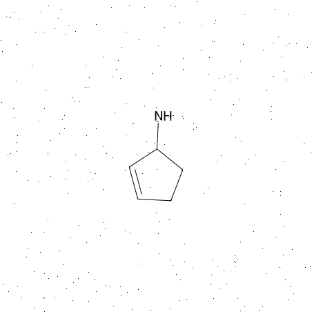 [NH]C1C=CCC1